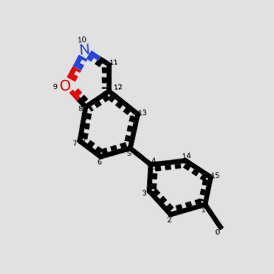 Cc1ccc(-c2ccc3oncc3c2)cc1